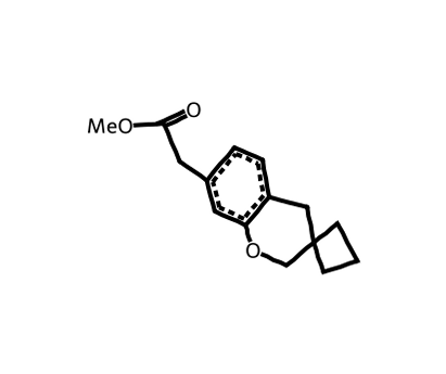 COC(=O)Cc1ccc2c(c1)OCC1(CCC1)C2